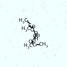 CCCC=C=C(C)C(=O)OCCO[PH](=O)OCCOC(=O)C(C)=C=CCCC